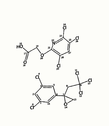 Clc1cc(Cl)cc(C2(CC(Cl)(Cl)Cl)CO2)c1.O=C(O)COc1nc(Cl)c(Cl)cc1Cl